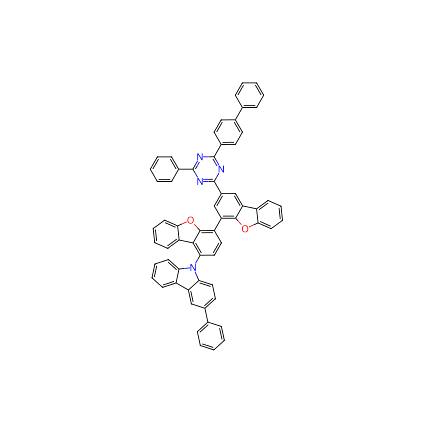 c1ccc(-c2ccc(-c3nc(-c4ccccc4)nc(-c4cc(-c5ccc(-n6c7ccccc7c7cc(-c8ccccc8)ccc76)c6c5oc5ccccc56)c5oc6ccccc6c5c4)n3)cc2)cc1